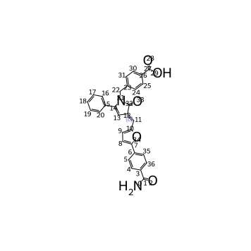 NC(=O)c1ccc(-c2ccc(/C=C3\C=C(c4ccccc4)N(Cc4ccc(C(=O)O)cc4)C3=O)o2)cc1